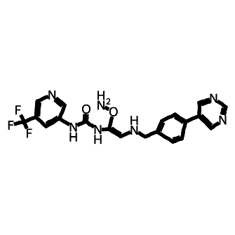 NO/C(=C\NCc1ccc(-c2cncnc2)cc1)NC(=O)Nc1cncc(C(F)(F)F)c1